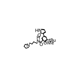 COc1c(C(=O)NCCCCN2CCCC2)cc(-c2ccc[nH]c2=O)cc1C(C)(C)C